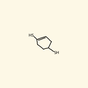 SC1=CCC(S)CC1